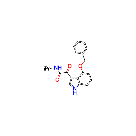 CC(C)NC(=O)C(=O)c1c[nH]c2cccc(OCc3ccccc3)c12